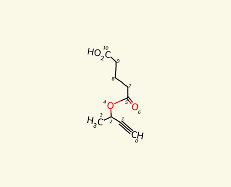 C#CC(C)OC(=O)CCCC(=O)O